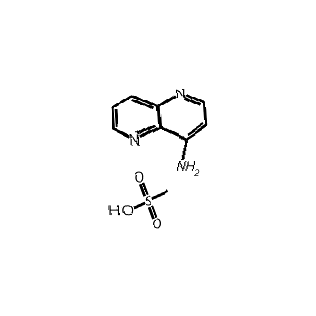 CS(=O)(=O)O.Nc1ccnc2cccnc12